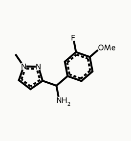 COc1ccc(C(N)c2ccn(C)n2)cc1F